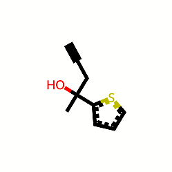 C#CCC(C)(O)c1cccs1